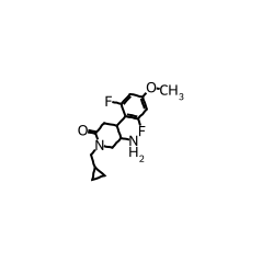 COc1cc(F)c(C2CC(=O)N(CC3CC3)CC2N)c(F)c1